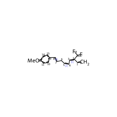 C=C/C(=C\C=C/C/C=C/c1ccc(OC)cc1)C(F)F